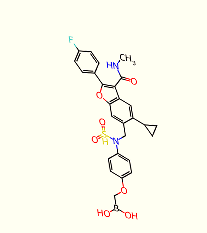 CNC(=O)c1c(-c2ccc(F)cc2)oc2cc(CN(c3ccc(OCB(O)O)cc3)[SH](=O)=O)c(C3CC3)cc12